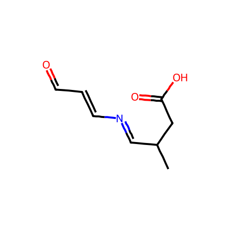 CC(C=NC=CC=O)CC(=O)O